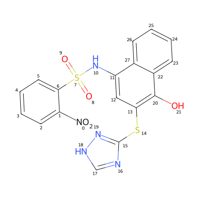 O=[N+]([O-])c1ccccc1S(=O)(=O)Nc1cc(Sc2nc[nH]n2)c(O)c2ccccc12